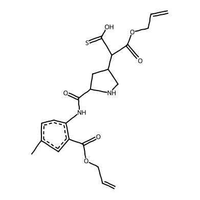 C=CCOC(=O)c1cc(C)ccc1NC(=O)C1CC(C(C(=O)OCC=C)C(O)=S)CN1